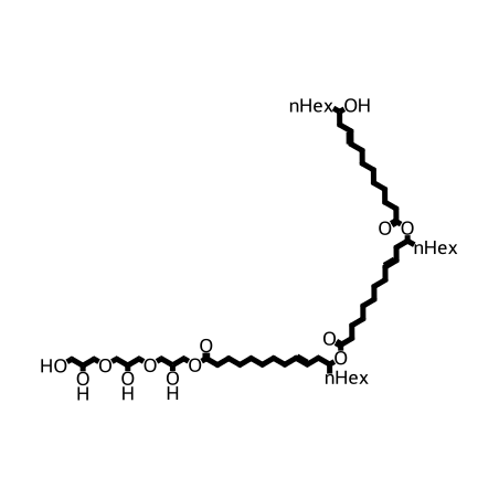 CCCCCCC(O)C/C=C/CCCCCCCC(=O)OC(C/C=C/CCCCCCCC(=O)OC(C/C=C/CCCCCCCC(=O)OCC(O)COCC(O)COCC(O)CO)CCCCCC)CCCCCC